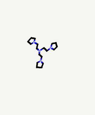 C1CCN(CCN(CCN2CCCC2)CCN2CCCC2)C1